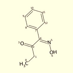 CCC(=O)C(=NO)c1ccccc1